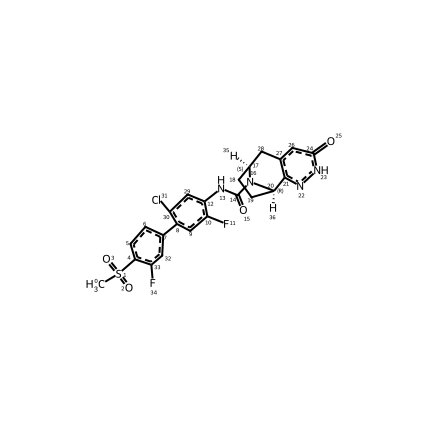 CS(=O)(=O)c1ccc(-c2cc(F)c(NC(=O)N3[C@H]4CC[C@@H]3c3n[nH]c(=O)cc3C4)cc2Cl)cc1F